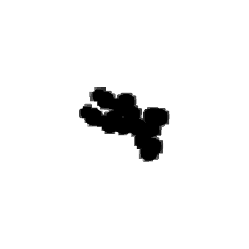 C=C(C)c1ccc(CCc2cccc3c(-c4cccc(N(c5ccc(N(c6cccc(-c7cccc8ccccc78)c6)c6cccc(-c7cccc8ccccc78)c6)cc5)c5cccc(-c6ccc(CCc7ccc(C(=C)C)cc7)c7ccccc67)c5)c4)cccc23)cc1